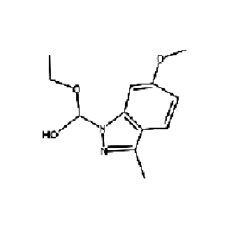 CCOC(O)n1nc(C)c2ccc(OC)cc21